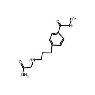 CCCNC(=O)c1ccc(CCCNCC(N)=O)cc1